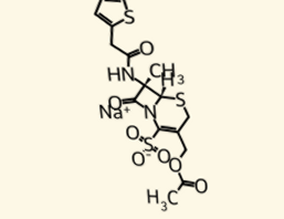 CC(=O)OCC1=C(S(=O)(=O)[O-])N2C(=O)[C@](C)(NC(=O)Cc3cccs3)[C@@H]2SC1.[Na+]